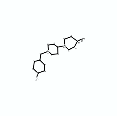 CCN1CCC(CN2CCC(N3CCC(C(C)C)CC3)CC2)CC1